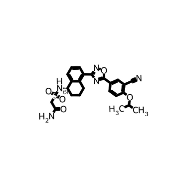 CC(C)Oc1ccc(-c2nc(-c3cccc4c3CCC[C@@H]4NS(=O)(=O)CC(N)=O)no2)cc1C#N